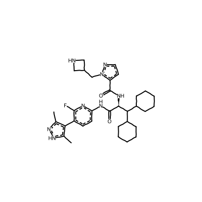 Cc1n[nH]c(C)c1-c1ccc(NC(=O)[C@@H](NC(=O)c2ccnn2CC2CNC2)C(C2CCCCC2)C2CCCCC2)nc1F